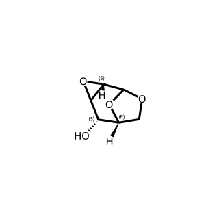 O[C@@H]1C2O[C@@H]2C2OC[C@H]1O2